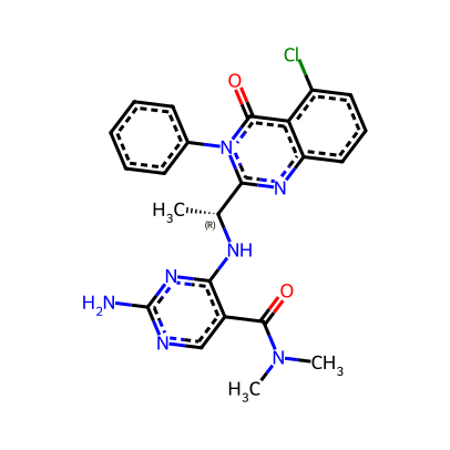 C[C@@H](Nc1nc(N)ncc1C(=O)N(C)C)c1nc2cccc(Cl)c2c(=O)n1-c1ccccc1